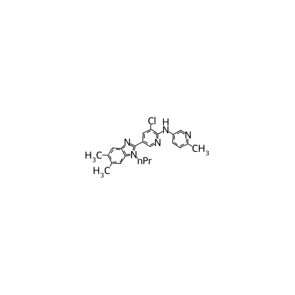 CCCn1c(-c2cnc(Nc3ccc(C)nc3)c(Cl)c2)nc2cc(C)c(C)cc21